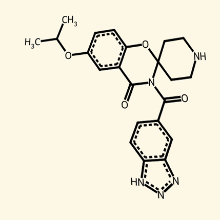 CC(C)Oc1ccc2c(c1)C(=O)N(C(=O)c1ccc3[nH]nnc3c1)C1(CCNCC1)O2